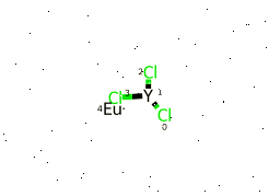 [Cl][Y]([Cl])[Cl].[Eu]